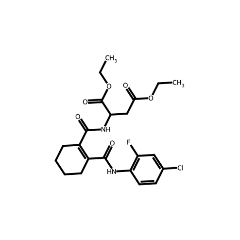 CCOC(=O)CC(NC(=O)C1=C(C(=O)Nc2ccc(Cl)cc2F)CCCC1)C(=O)OCC